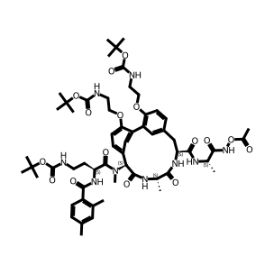 CC(=O)ONC(=O)[C@H](C)NC(=O)[C@@H]1Cc2ccc(OCCNC(=O)OC(C)(C)C)c(c2)-c2cc(ccc2OCCNC(=O)OC(C)(C)C)[C@H](N(C)C(=O)[C@H](CCNC(=O)OC(C)(C)C)NC(=O)c2ccc(C)cc2C)C(=O)N[C@@H](C)C(=O)N1